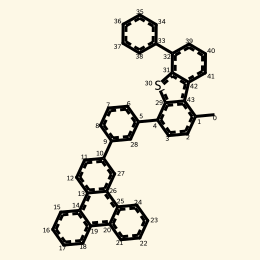 Cc1ccc(-c2cccc(-c3ccc4c5ccccc5c5ccccc5c4c3)c2)c2sc3c(-c4ccccc4)cccc3c12